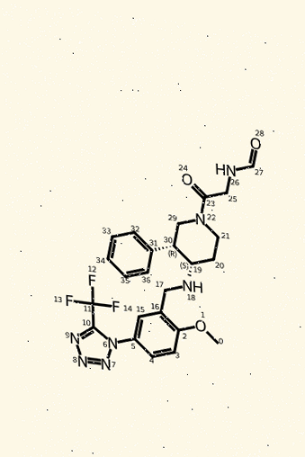 COc1ccc(-n2nnnc2C(F)(F)F)cc1CN[C@H]1CCN(C(=O)CNC=O)C[C@H]1c1ccccc1